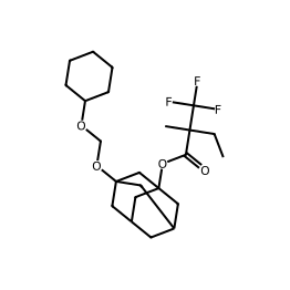 CCC(C)(C(=O)OC12CC3CC(CC(OCOC4CCCCC4)(C3)C1)C2)C(F)(F)F